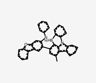 Cc1cc(-c2cc3c(cc2Nc2ccccc2)oc2ccccc23)c2c3c1c1ccccc1n3-c1ccccc1B2